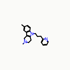 Cc1ccc2c(c1)c1c(n2CCCc2ccccn2)CCN(C)C1